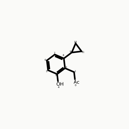 CC(=O)Cc1c(O)cccc1C1CC1